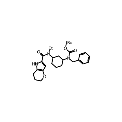 CCN(C(=O)c1cc2c([nH]1)CCCO2)C1CCCC(N(Cc2ccccc2)C(=O)OC(C)(C)C)C1